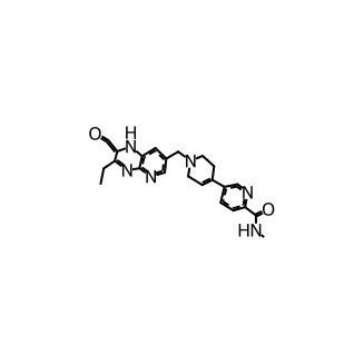 CCC1=Nc2ncc(CN3CC=C(c4ccc(C(=O)NC)nc4)CC3)cc2NC1=C=O